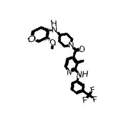 CO[C@H]1COCC[C@H]1NC1CCN(C(=O)c2ccnc(Nc3cccc(C(F)(F)F)c3)c2C)CC1